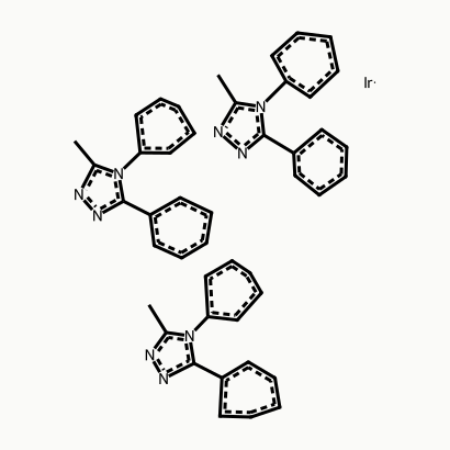 Cc1nnc(-c2ccccc2)n1-c1ccccc1.Cc1nnc(-c2ccccc2)n1-c1ccccc1.Cc1nnc(-c2ccccc2)n1-c1ccccc1.[Ir]